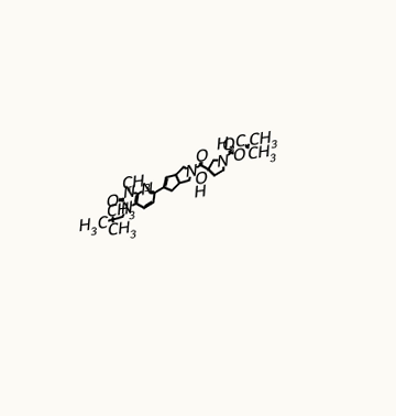 Cn1c(=O)n(CC(C)(C)C)c2ccc(C3=CC4CN(C(=O)C5(O)CCN(C(=O)OC(C)(C)C)C5)CC4C3)nc21